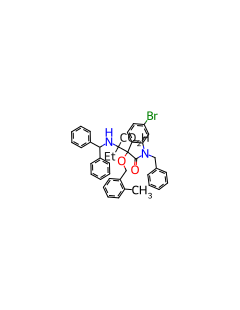 CCC(NC(c1ccccc1)c1ccccc1)(C(=O)O)C1(OCc2ccccc2C)C(=O)N(Cc2ccccc2)c2cc(Br)ccc21